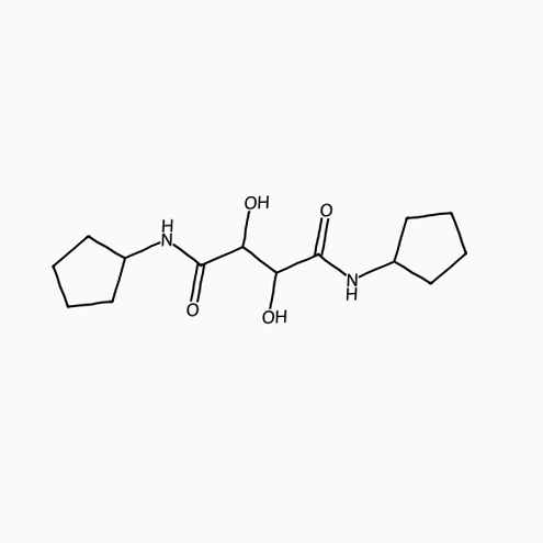 O=C(NC1CCCC1)C(O)C(O)C(=O)NC1CCCC1